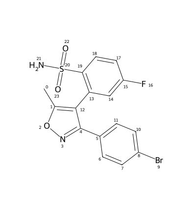 Cc1onc(-c2ccc(Br)cc2)c1-c1cc(F)ccc1S(N)(=O)=O